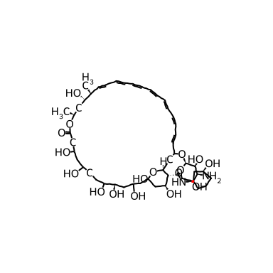 C[C@H]1C[C@H](O)[C@@H](C)/C=C/C=C/C=C/C=C/C=C/C=C/C=C/C(O[C@@H]2OC[C@@H](O)[C@H](N)[C@@H]2O)C[C@@H]2OC(O)(CC(O)C[C@@H](O)C(O)CCC(O)CC(O)CC(=O)O1)C[C@H](O)[C@H]2C(=O)N[C@@H]1CCC[C@H](O)C1